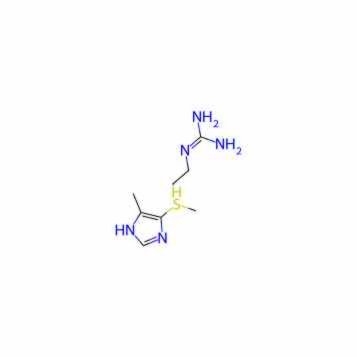 Cc1[nH]cnc1[SH](C)CCN=C(N)N